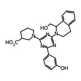 O=C(O)C1CCCN(c2nc(-c3cccc(O)c3)nc(N3CCc4ccccc4C3CO)n2)C1